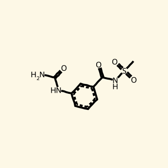 CS(=O)(=O)NC(=O)c1cccc(NC(N)=O)c1